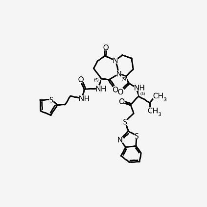 CC(C)[C@H](NC(=O)[C@@H]1CCCN2C(=O)CC[C@H](NC(=O)NCCc3cccs3)C(=O)N12)C(=O)CSc1nc2ccccc2s1